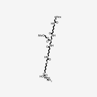 CCCCCCSCC(=O)NCCCCCC(=O)NCCN(CCNC(=O)CCCCCNC(=O)CSCCCCCCOP(=O)(O)OPN)C(=O)OCCOC